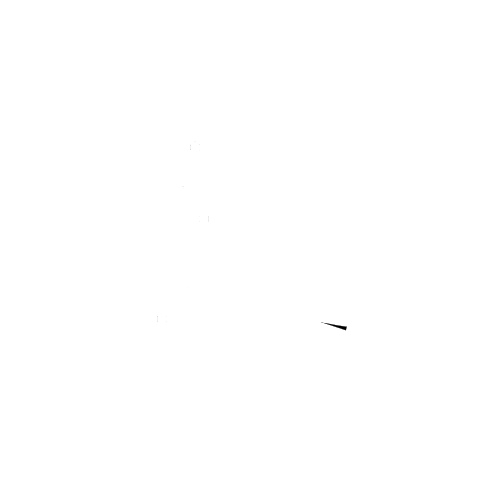 C[C@H]1CC[C@H](C(=O)C2CCC(=O)O2)CC1